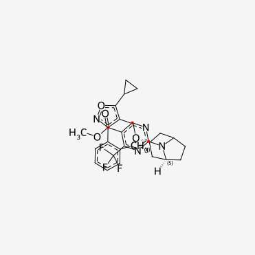 COC(=O)c1cnc(N2C3CC[C@H]2C[C@H](OCc2c(-c4ccccc4C)noc2C2CC2)C3)nc1C(F)(F)F